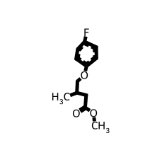 COC(=O)CC(C)COc1ccc(F)cc1